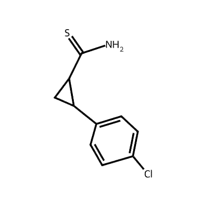 NC(=S)C1CC1c1ccc(Cl)cc1